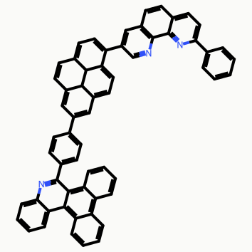 C1=CC2=CC=C(c3cnc4c(ccc5ccc(-c6ccccc6)nc54)c3)C3=CC=C4C=C(c5ccc(-c6nc7ccccc7c7c8ccccc8c8ccccc8c67)cc5)C=C1C4C23